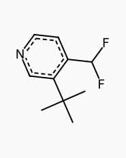 CC(C)(C)c1cnccc1C(F)F